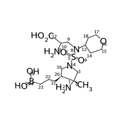 C[C@]1(N)CN(S(=O)(=O)N(CC(N)C(=O)O)C2CCOCC2)C[C@@H]1CCCB(O)O